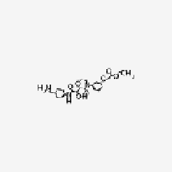 CCOC(=O)COc1cccc(N2CCOC([C@@H](O)C(=O)Nc3ccc(CN)cc3)C2=O)c1